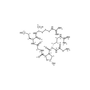 N=C(N)NCCC[C@H](NC(=O)[C@H](CCC(=O)O)NC(=O)CNC(=O)[C@@H]1C[C@@H](O)CN1C(=O)[C@H](CCCNC(=N)N)NC(=O)CN)C(=O)O